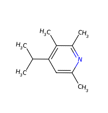 Cc1cc(C(C)C)c(C)c(C)n1